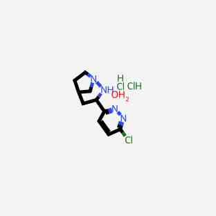 Cl.Cl.Clc1ccc(C2CC3CCN(C3)N2)nn1.O